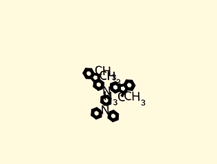 CC1(C)c2ccccc2-c2ccc(N(c3ccc(N(c4ccccc4)c4ccccc4)cc3)c3ccc4c(c3)C(C)(C)c3ccccc3-4)cc21